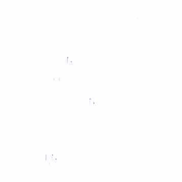 NC1CCN(c2ccc(F)cc2[N+](=O)[O-])CC1